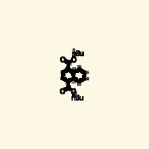 CCCCOC(=O)c1ccc(C(=O)OCCCC)c2ccccc12